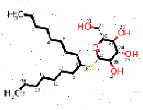 CCCCCCCCC(CCCCCCC)S[C@@H]1O[C@H](CO)[C@@H](O)[C@H](O)[C@H]1O